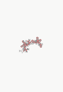 CCN1C(=O)/C(=N/c2nc3c(s2)-c2sc(/N=C4\SC(=C(C#N)C#N)N(CCc5cccc6c5C(=O)/C(=C/c5nc7c(s5)-c5sc(C=C8C(=O)c9ccccc9C8=O)nc5C7(C(=O)OCc5ccccc5)C(=O)OCc5ccccc5)C6=O)C4=O)nc2C3(C(=O)OCc2ccccc2)C(=O)OCc2ccccc2)SC1=C(C#N)C#N